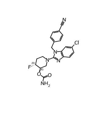 N#Cc1ccc(Cn2c(N3CC[C@@H](F)[C@H](OC(N)=O)C3)nc3ccc(Cl)cc32)cc1